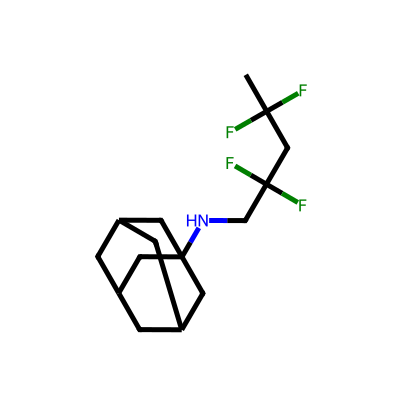 CC(F)(F)CC(F)(F)CNC12CC3CC(CC(C3)C1)C2